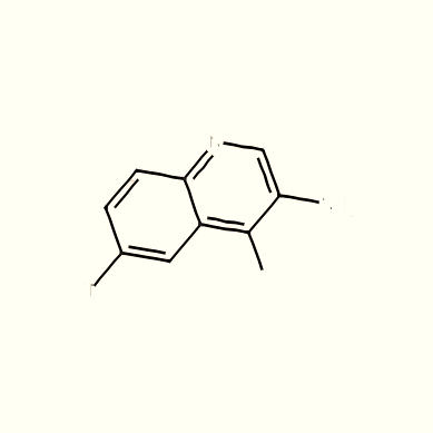 Nc1cnc2ccc(Cl)cc2c1I